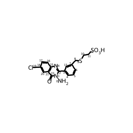 Nn1c(-c2cccc(CSCCS(=O)(=O)O)c2)nc2ccc(Cl)cc2c1=O